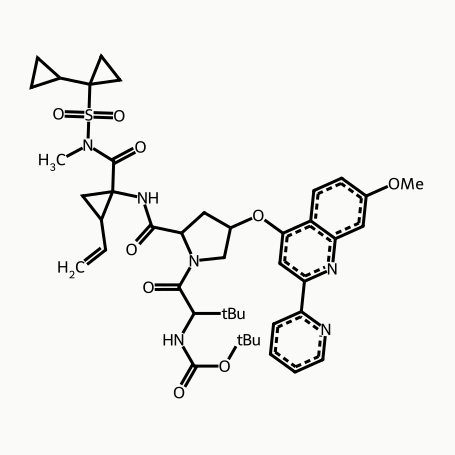 C=CC1CC1(NC(=O)C1CC(Oc2cc(-c3ccccn3)nc3cc(OC)ccc23)CN1C(=O)C(NC(=O)OC(C)(C)C)C(C)(C)C)C(=O)N(C)S(=O)(=O)C1(C2CC2)CC1